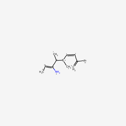 C=C(/C=C\B(C)C(C)/C(N)=C/C)C(C)C